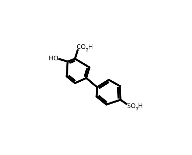 O=C(O)c1cc(-c2ccc(S(=O)(=O)O)cc2)ccc1O